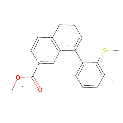 COC(=O)c1ccc2c(c1)C(c1ccccc1SC)=CCC2